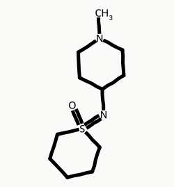 CN1CCC(N=S2(=O)CCCCC2)CC1